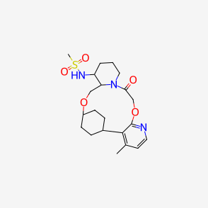 Cc1ccnc2c1C1CCC(CC1)OCC1C(NS(C)(=O)=O)CCCN1C(=O)CO2